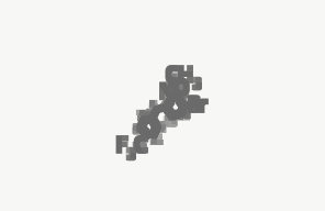 Cc1nc2c(Cc3ccc(C(F)(F)F)cc3)ccc(Br)c2o1